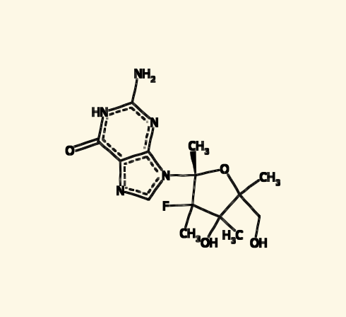 CC1(CO)O[C@@](C)(n2cnc3c(=O)[nH]c(N)nc32)C(C)(F)C1(C)O